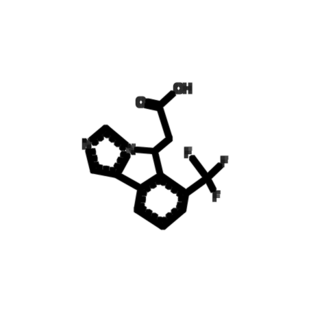 O=C(O)CC1c2c(cccc2C(F)(F)F)-c2cncn21